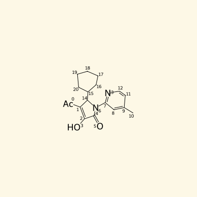 CC(=O)C1=C(O)C(=O)N(c2cc(C)ccn2)C1C1CCCCC1